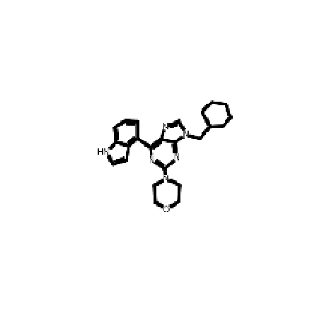 c1cc(-c2nc(N3CCOCC3)nc3c2ncn3CC2CCCCC2)c2cc[nH]c2c1